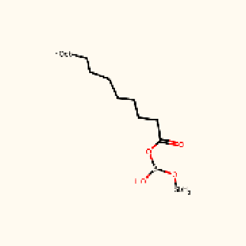 CCCCCCCCCCCCCCCC(=O)OB(O)[O][SbH2]